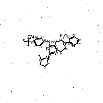 CC1CCCN1c1nc2c(c(Nc3ccc(C(C)(C)C#N)cc3)n1)CCN(c1ncccc1C(F)(F)F)CC2